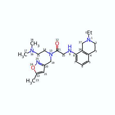 CCN1CCc2cccc(NCC(=O)N(CCN(C)C)Cc3cc(C)on3)c2C1